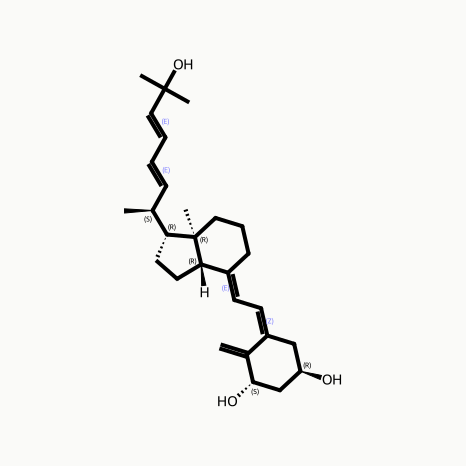 C=C1/C(=C\C=C2/CCC[C@]3(C)[C@@H]([C@@H](C)/C=C/C=C/C(C)(C)O)CC[C@@H]23)C[C@@H](O)C[C@@H]1O